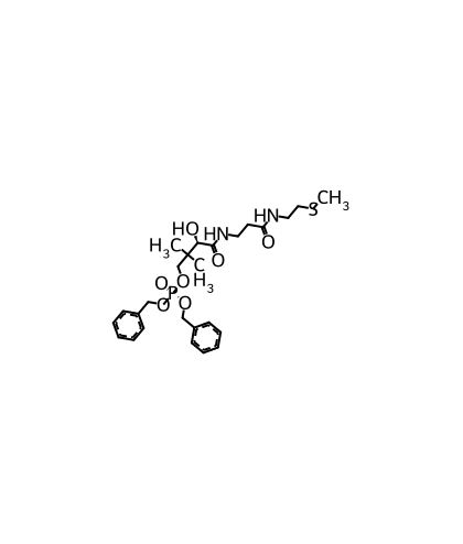 CSCCNC(=O)CCNC(=O)[C@H](O)C(C)(C)COP(=O)(OCc1ccccc1)OCc1ccccc1